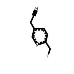 N#CCc1ccc(CF)nc1